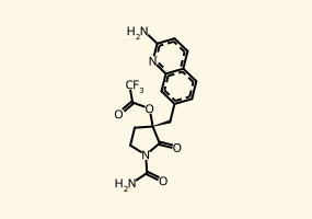 NC(=O)N1CC[C@](Cc2ccc3ccc(N)nc3c2)(OC(=O)C(F)(F)F)C1=O